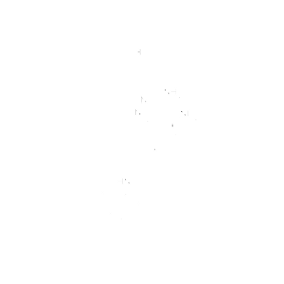 COc1ccccc1C(=O)NCc1ccc(-c2nn(C3CC(O)C4C=CC=CC43)c(N)c2C(N)=O)cc1